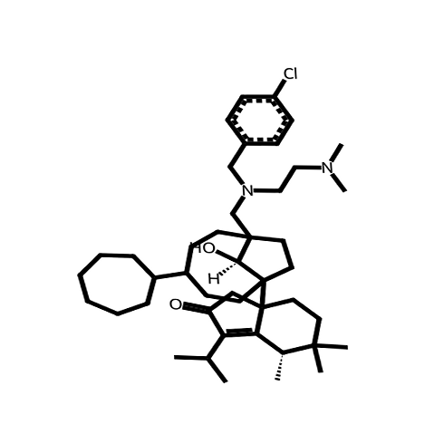 CC(C)C1=C2[C@@H](C)C(C)(C)CCC2(C23CCC(C4CCCCCC4)CCC(CN(CCN(C)C)Cc4ccc(Cl)cc4)(CC2)[C@@H]3O)CC1=O